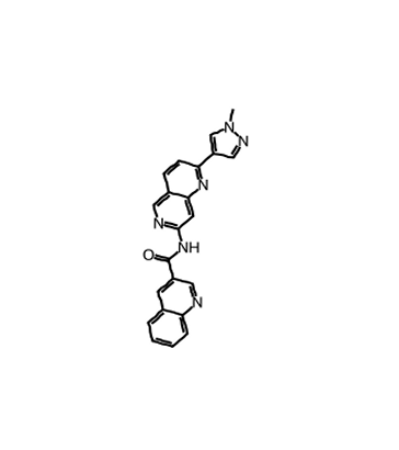 Cn1cc(-c2ccc3cnc(NC(=O)c4cnc5ccccc5c4)cc3n2)cn1